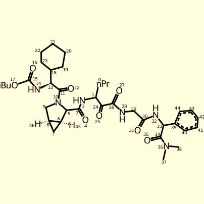 CCCC(NC(=O)C1[C@H]2C[C@H]2CN1C(=O)[C@@H](NC(=O)OCC(C)C)C1CCCCC1)C(=O)C(=O)NCC(=O)NC(C(=O)N(C)C)c1ccccc1